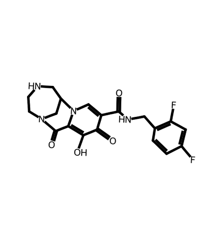 O=C(NCc1ccc(F)cc1F)c1cn2c(c(O)c1=O)C(=O)N1CCNCC2C1